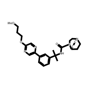 COCCCOc1cnc(-c2cccc(C(C)(C)NC(=O)N3CCN4CCC3CC4)c2)cn1